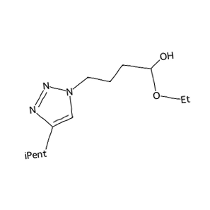 CCCC(C)c1cn(CCCC(O)OCC)nn1